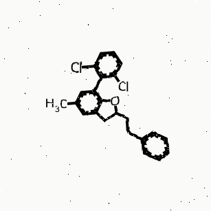 Cc1cc2c(c(-c3c(Cl)cccc3Cl)c1)OC(CCc1ccccc1)C2